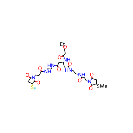 CCOCCC(=O)NC(CC(=O)NCCNC(=O)CCN1C(=O)CC(SC)C1=O)CC(=O)NCCNC(=O)CCN1C(=O)CC(SF)C1=O